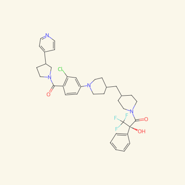 O=C(c1ccc(N2CCC(CC3CCN(C(=O)[C@](O)(c4ccccc4)C(F)(F)F)CC3)CC2)cc1Cl)N1CCC(c2ccncc2)C1